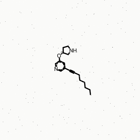 CCCCCCC#Cc1cncc(O[C@H]2CCNC2)c1